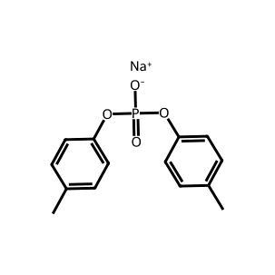 Cc1ccc(OP(=O)([O-])Oc2ccc(C)cc2)cc1.[Na+]